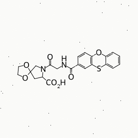 O=C(NCC(=O)N1CC2(CC1C(=O)O)OCCO2)c1ccc2c(c1)Sc1ccccc1O2